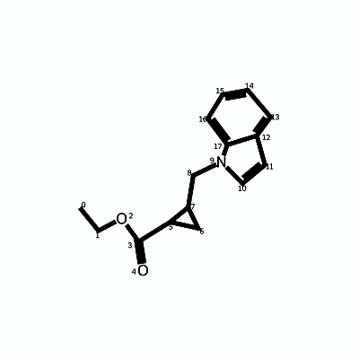 CCOC(=O)C1CC1Cn1ccc2ccccc21